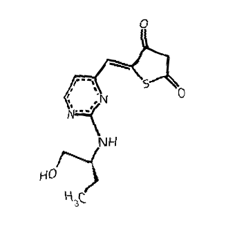 CC[C@@H](CO)Nc1nccc(/C=C2\SC(=O)CC2=O)n1